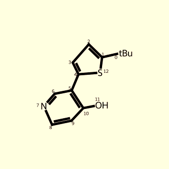 CC(C)(C)c1ccc(-c2cnccc2O)s1